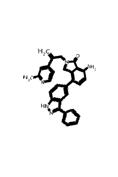 C=C(CN1Cc2c(-c3ccc4[nH]nc(-c5ccccc5)c4c3)ccc(N)c2C1=O)c1ccnc(C)c1